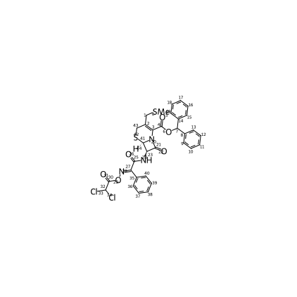 CSCC1=C(C(=O)OC(c2ccccc2)c2ccccc2)N2C(=O)[C@@H](NC(=O)/C(=N/OC(=O)C(Cl)Cl)c3ccccc3)[C@H]2SC1